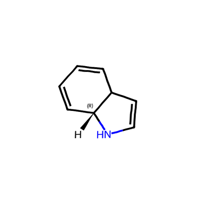 C1=CC2C=CN[C@@H]2C=C1